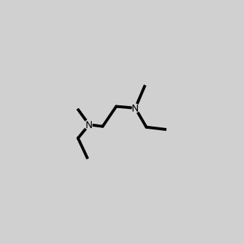 CCN(C)CCN(C)CC